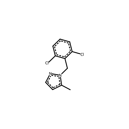 Cc1ccnn1Cc1c(Cl)cccc1Cl